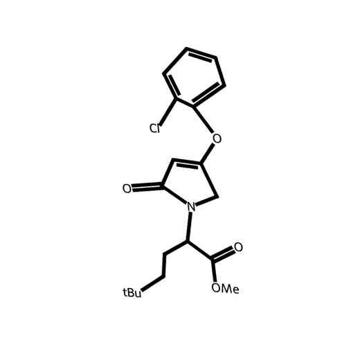 COC(=O)C(CCC(C)(C)C)N1CC(Oc2ccccc2Cl)=CC1=O